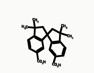 CC1(C)CC2(CC(C)(C)c3ccc(C(=O)O)cc32)c2cc(C(=O)O)ccc21